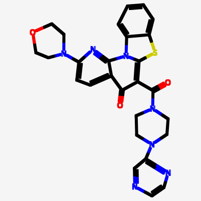 O=C(c1c(=O)c2ccc(N3CCOCC3)nc2n2c1sc1ccccc12)N1CCN(c2cnccn2)CC1